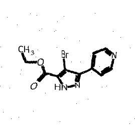 CCOC(=O)c1[nH]nc(-c2ccncc2)c1Br